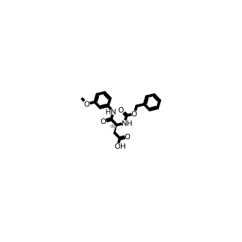 COc1cccc(NC(=O)[C@H](CC(=O)O)NC(=O)OCc2ccccc2)c1